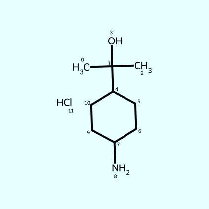 CC(C)(O)C1CCC(N)CC1.Cl